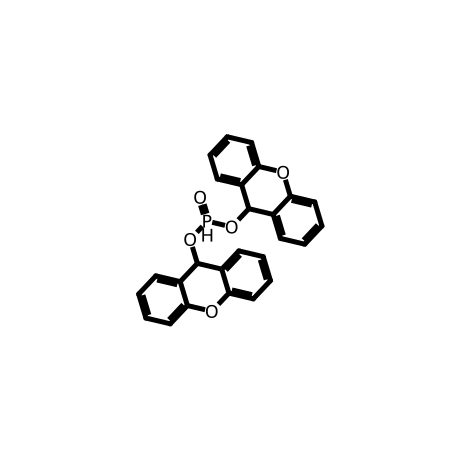 O=[PH](OC1c2ccccc2Oc2ccccc21)OC1c2ccccc2Oc2ccccc21